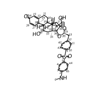 CNc1ccc(S(=O)(=O)c2ccc(C[C@@H]3O[C@@H]4C[C@H]5[C@@H]6CCC7=CC(=O)C=C[C@]7(C)[C@H]6[C@@H](O)C[C@]5(C)[C@]4(C(=O)CO)O3)cc2)cc1